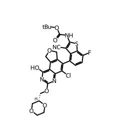 CC(C)(C)OC(=O)Nc1sc2c(F)ccc(-c3c4c(c5c(O)nc(OC[C@H]6COCCO6)nc5c3Cl)COC4)c2c1C#N